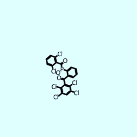 O=C(c1ccccc1[P](=O)C(=O)c1c(Cl)cccc1Cl)c1c(Cl)c(Cl)cc(Cl)c1Cl